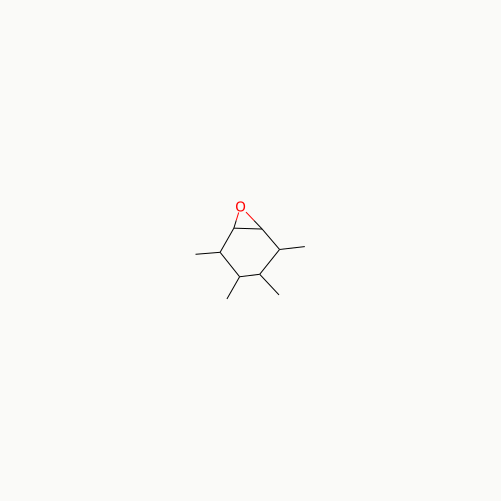 CC1C(C)C(C)C2OC2C1C